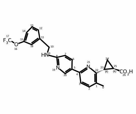 Cc1ccc(-c2ccc(NCc3cccc(OC(F)(F)F)c3)nc2)nc1[C@@H]1C[C@H]1C(=O)O